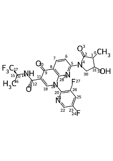 CC1C(=O)N(c2ccc3c(=O)c(C(=O)N[C@@H](C)C(F)(F)F)cn(-c4ncc(F)cc4F)c3n2)CC1O